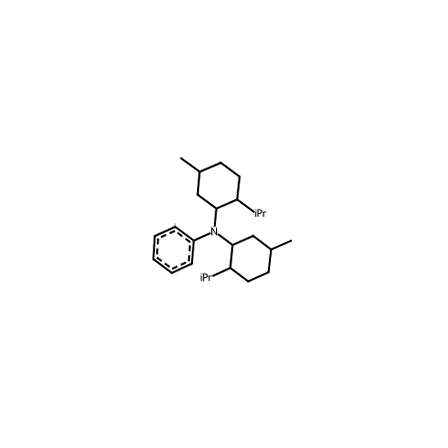 CC1CCC(C(C)C)C(N(c2[c]cccc2)C2CC(C)CCC2C(C)C)C1